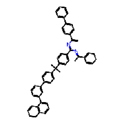 C=C(/N=C(\N=C(/C)C1=CCCC=C1)c1ccc(C(C)(C)c2ccc(-c3cccc(-c4cccc5c4C=CCC5)c3)cc2)cc1)c1ccc(-c2ccccc2)cc1